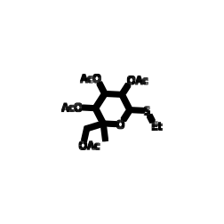 CCSC1OC(C)(COC(C)=O)C(OC(C)=O)C(OC(C)=O)C1OC(C)=O